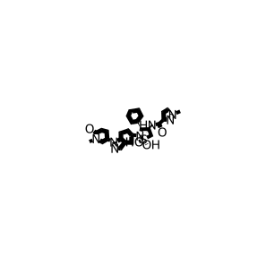 Cn1ccc(C(=O)N[C@H]2CS(O)(O)N(c3ccc4c(cnn4-c4ccc(=O)n(C)c4)c3)[C@@H]2c2ccccc2)n1